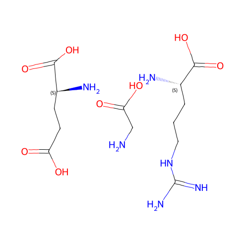 N=C(N)NCCC[C@H](N)C(=O)O.NCC(=O)O.N[C@@H](CCC(=O)O)C(=O)O